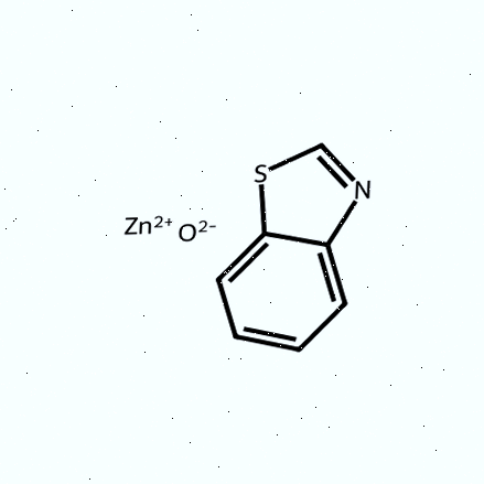 [O-2].[Zn+2].c1ccc2scnc2c1